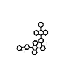 c1ccc(-c2c3ccccc3c(-c3ccc4c(c3)oc3cccc(-c5c6ccccc6c(-c6ccc7c(c6)sc6ccccc67)c6ccccc56)c34)c3ccccc23)cc1